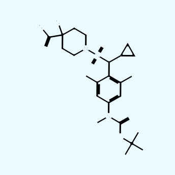 Cc1cc(N(C)C(=O)OC(C)(C)C)cc(C)c1C(C1CC1)S(=O)(=O)N1CCC(N)(C(N)=O)CC1